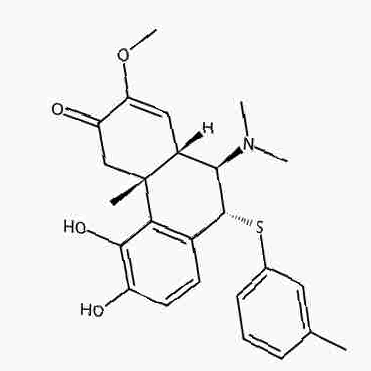 COC1=C[C@@H]2[C@@H](N(C)C)[C@H](Sc3cccc(C)c3)c3ccc(O)c(O)c3[C@]2(C)CC1=O